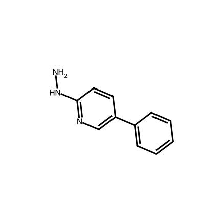 NNc1ccc(-c2ccccc2)cn1